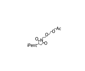 CCCC(C)C1CC(=O)N(CCOCCOCC(C)=O)C1=O